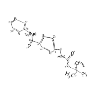 CC(C)(C)OC(=O)NCc1ccc(C(=O)Nc2cc[c]cc2)cc1